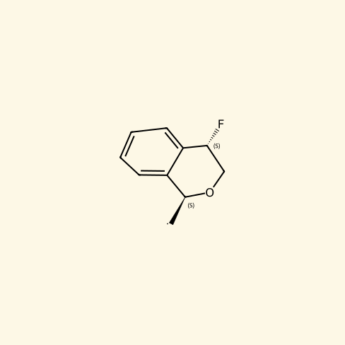 [CH2][C@@H]1OC[C@@H](F)c2ccccc21